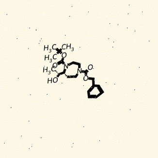 C[C@@H](O)[C@H]1CCN(C(=O)OCc2ccccc2)CCN1C(=O)OC(C)(C)C